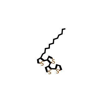 CCCCCCCCCCCCc1ccsc1-c1ccsc1-c1ccsc1-c1cccs1